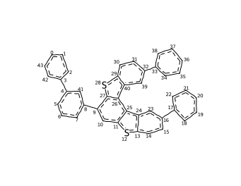 c1ccc(-c2cccc(-c3cc4sc5ccc(-c6ccccc6)cc5c4c4c3sc3ccc(-c5ccccc5)cc34)c2)cc1